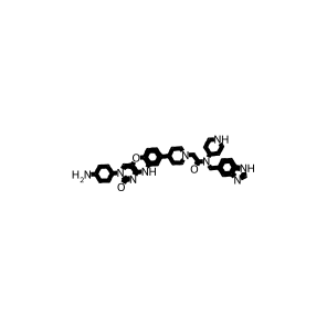 NC1CCC(n2cc3c(nc2=O)Nc2cc(C4CCN(CC(=O)N(Cc5ccc6[nH]cnc6c5)C5CCNCC5)CC4)ccc2O3)CC1